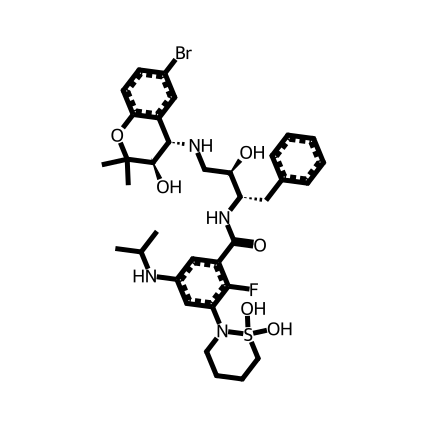 CC(C)Nc1cc(C(=O)N[C@@H](Cc2ccccc2)[C@H](O)CN[C@H]2c3cc(Br)ccc3OC(C)(C)[C@@H]2O)c(F)c(N2CCCCS2(O)O)c1